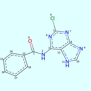 O=C(Nc1nc(Cl)nc2nc[nH]c12)c1ccccc1